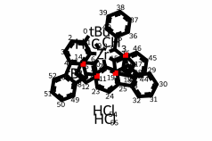 CC(C)(C)c1ccc2c([c]1[Zr]([CH3])([CH3])([C]1=CC=CC1)([C]1=CC=CC1)([c]1c(C(C)(C)C)ccc3c1Cc1ccccc1-3)[CH](c1ccccc1)c1ccccc1)Cc1ccccc1-2.Cl.Cl